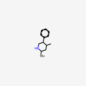 CC1CC(C(C)(C)C)NCC1c1ccccc1